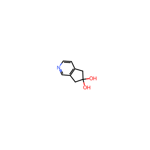 OC1(O)Cc2ccncc2C1